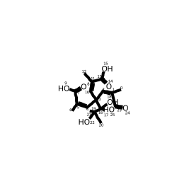 CC(=CC(C=C(C)C(=O)O)(C=C(C)C(=O)O)C(C)(O)C(C)(C)O)C(=O)O